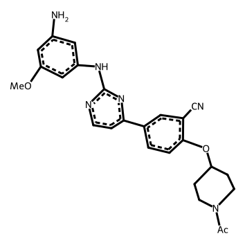 COc1cc(N)cc(Nc2nccc(-c3ccc(OC4CCN(C(C)=O)CC4)c(C#N)c3)n2)c1